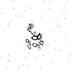 C[C@H]1CCCN1C(=O)[C@H]1CC[C@H](Nc2nccc(-n3ncc4c(OCCCS(N)(=O)=O)cccc43)n2)CC1